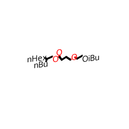 CCCCCCC(CCCC)COC(=O)CCCOCCOCC(C)C